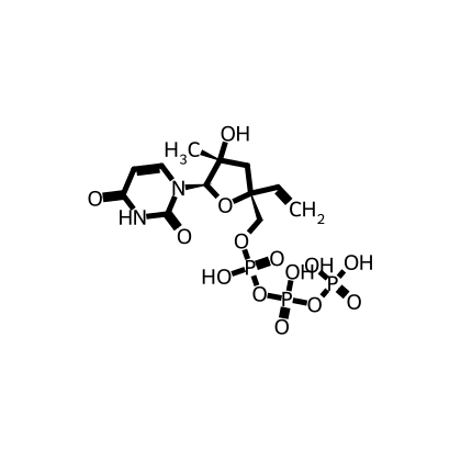 C=C[C@@]1(COP(=O)(O)OP(=O)(O)OP(=O)(O)O)C[C@@](C)(O)[C@H](n2ccc(=O)[nH]c2=O)O1